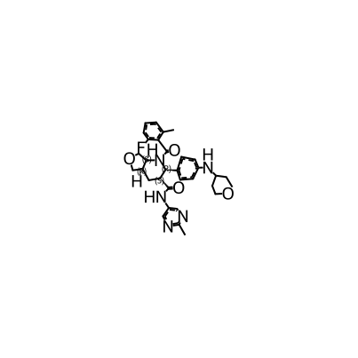 Cc1ncc(NC(=O)[C@H]2C[C@H]3COC[C@H]3N(C(=O)c3c(C)cccc3F)[C@H]2c2ccc(NC3CCOCC3)cc2)cn1